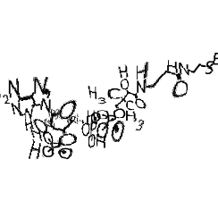 CCSCCNC(=O)CCNC(=O)C(O)C(C)(C)COP(=O)(O)OP(=O)(O)OC[C@H]1O[C@@H](n2cnc3c(N)ncnc32)[C@@H](O)C1OP(=O)(O)O